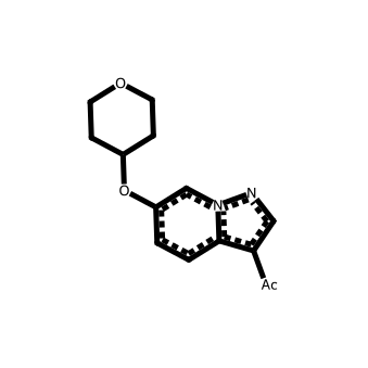 CC(=O)c1cnn2cc(OC3CCOCC3)ccc12